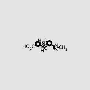 Cc1nc(-c2ccc(C)c(S(=O)(=O)Nc3cccc(C(=O)O)c3)c2)cs1